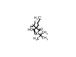 C=CCCC(C(=O)O)(C(=O)OC(C)(C)C)C(F)F